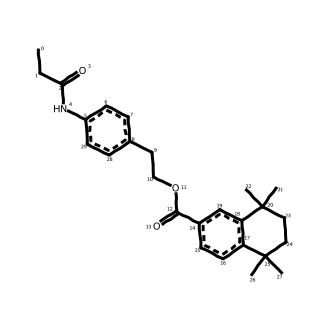 CCC(=O)Nc1ccc(CCOC(=O)c2ccc3c(c2)C(C)(C)CCC3(C)C)cc1